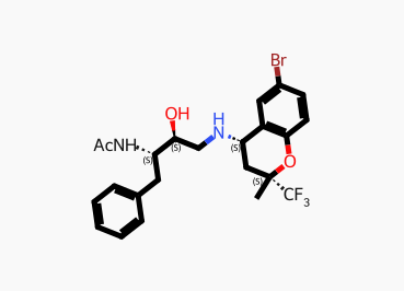 CC(=O)N[C@@H](Cc1ccccc1)[C@@H](O)CN[C@H]1C[C@@](C)(C(F)(F)F)Oc2ccc(Br)cc21